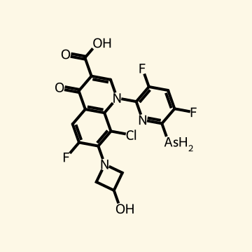 O=C(O)c1cn(-c2nc([AsH2])c(F)cc2F)c2c(Cl)c(N3CC(O)C3)c(F)cc2c1=O